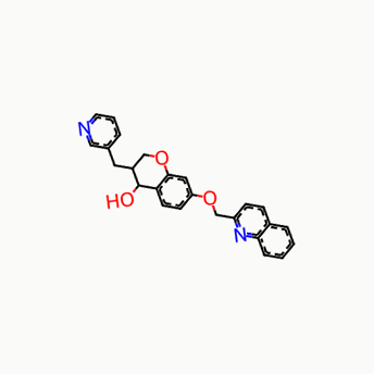 OC1c2ccc(OCc3ccc4ccccc4n3)cc2OCC1Cc1cccnc1